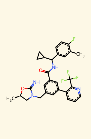 Cc1cc(C(NC(=O)c2cc(CN3C[C@@H](C)OC3=N)cc(-c3cccnc3C(F)(F)F)c2)C2CC2)ccc1F